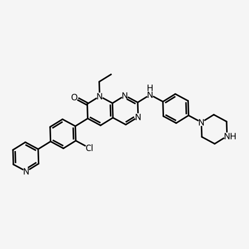 CCn1c(=O)c(-c2ccc(-c3cccnc3)cc2Cl)cc2cnc(Nc3ccc(N4CCNCC4)cc3)nc21